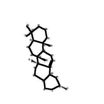 C[C@@H]1CCC2CC[C@]3(I)C(=CCC4[C@@]5(C)CCCC(C)(C)C5CC[C@]43C)C2C1